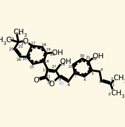 CC(C)=CCc1cc(/C=C2/OC(=O)C(c3cc4c(cc3O)OC(C)(C)C=C4)=C2O)ccc1O